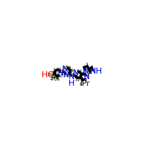 CC(C)c1cnc(N2CCC23CNC3)c2cnc(Nc3ccnc(N4CC[C@@H](O)[C@@](C)(F)C4)n3)cc12